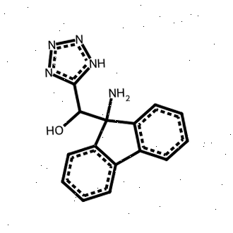 NC1(C(O)c2nnn[nH]2)c2ccccc2-c2ccccc21